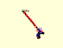 COCCOCCOCCOCCOCCOCCOCCOCCNC(=O)CN1CC2(CCC(c3ccccc3)(N(C)C)CC2)N(CC2CCC2)C1=O